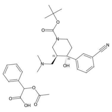 CC(=O)OC(C(=O)O)c1ccccc1.CN(C)C[C@H]1CN(C(=O)OC(C)(C)C)CC[C@@]1(O)c1cccc(C#N)c1